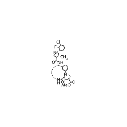 COC(=O)N1CCN2c3cccc(c3)[C@@H](NC(=O)c3cnn(-c4cccc(Cl)c4F)c3C)CCCCCCNC(=O)[C@H]2C1